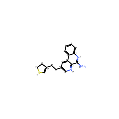 Nc1nc2ccccc2c2cc(CCC3=CSCC3)cnc12